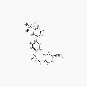 N[C@H]1CC[C@H](C[C@H]2C[C@@H]2c2ccc(-c3cccc(C(F)(F)F)c3)cc2)CC1